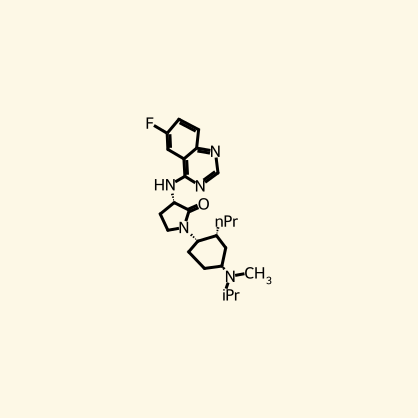 CCC[C@@H]1C[C@H](N(C)C(C)C)CC[C@@H]1N1CC[C@H](Nc2ncnc3ccc(F)cc23)C1=O